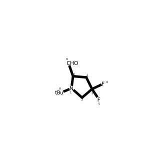 CC(C)(C)N1CC(F)(F)CC1C=O